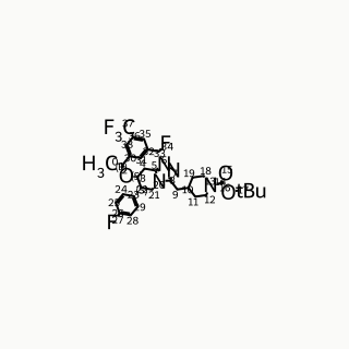 C[C@@H](O[C@H]1Cc2nnc(CC3CCN(C(=O)OC(C)(C)C)CC3)n2C[C@@H]1c1ccc(F)cc1)c1cc(CF)cc(C(F)(F)F)c1